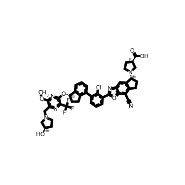 COc1nc(O[C@H]2CCc3c(-c4cccc(-c5nc6cc7c(c(C#N)c6o5)CC[C@H]7N5CC[C@@H](C(=O)O)C5)c4Cl)cccc32)c(C(F)(F)F)nc1CN1CC[C@@H](O)C1